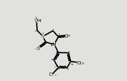 O=C1CN(CO)C(=O)N1c1cc(Cl)cc(Cl)c1